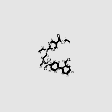 CCOC(=O)c1cnc(N(CC)CCN(C)S(=O)(=O)c2ccc(-c3ccccc3C=O)cc2)nc1